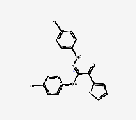 O=C(/C(=N\Nc1ccc(Cl)cc1)Nc1ccc(Cl)cc1)c1cccs1